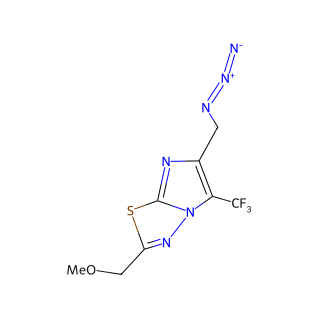 COCc1nn2c(C(F)(F)F)c(CN=[N+]=[N-])nc2s1